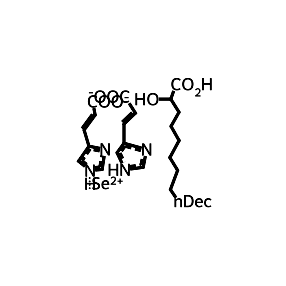 CCCCCCCCCCCCCCCCC(O)C(=O)O.O=C([O-])C=Cc1c[nH]cn1.O=C([O-])C=Cc1c[nH]cn1.[Se+2]